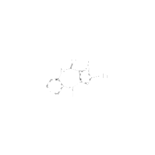 CCCc1cc2c(n1C)C(=O)Nc1ccccc1N2